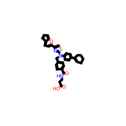 O=C(O)CCNC(=O)c1ccc(CN(c2ccc(C3=CCCCC3)cc2)c2nc(-c3ccc4cccc-4o3)cs2)cc1